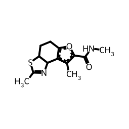 CNC(=O)c1oc2c(c1C)C1N=C(C)SC1CC2